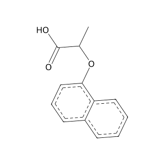 CC(Oc1cccc2ccccc12)C(=O)O